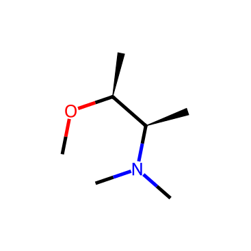 CO[C@@H](C)[C@@H](C)N(C)C